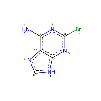 Nc1nc(Br)nc2[nH]cnc12